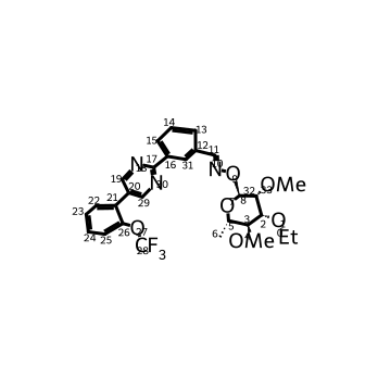 CCO[C@@H]1[C@@H](OC)[C@H](C)O[C@@H](O/N=C/c2cccc(-c3ncc(-c4ccccc4OC(F)(F)F)cn3)c2)[C@@H]1OC